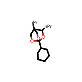 CCCC1OC2(C3CCCCC3)OCC1(C(C)C)CO2